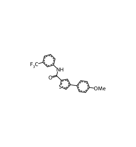 COc1ccc(-c2csc(C(=O)Nc3cccc(C(F)(F)F)c3)c2)cc1